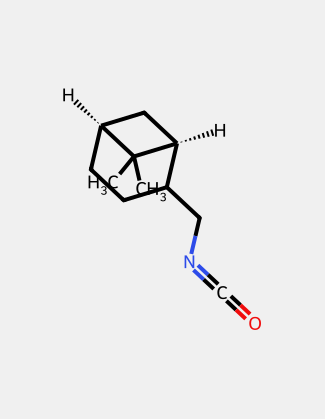 CC1(C)[C@H]2CCC(CN=C=O)[C@@H]1C2